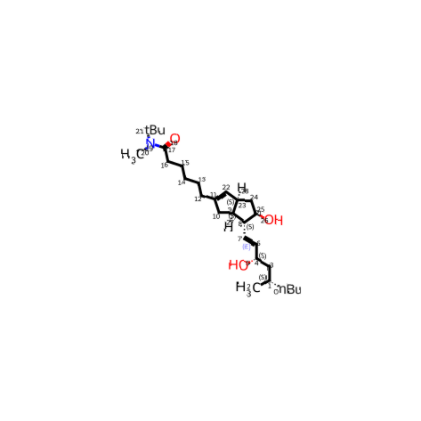 CCCC[C@H](C)C[C@H](O)/C=C/[C@@H]1[C@H]2CC(CCCCCC(=O)N(C)C(C)(C)C)=C[C@H]2C[C@H]1O